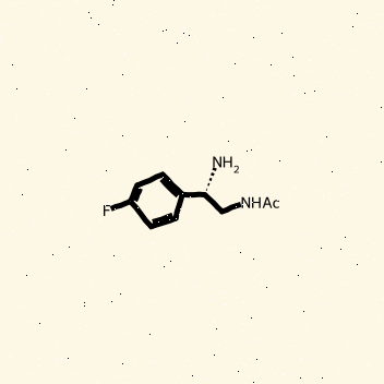 CC(=O)NC[C@@H](N)c1ccc(F)cc1